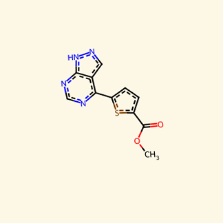 COC(=O)c1ccc(-c2ncnc3[nH]ncc23)s1